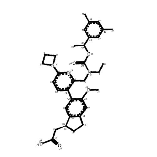 CCN(Cc1nc(N2CCC2)ccc1-c1cc2c(cc1OC)CC[C@H]2CC(=O)O)C(=O)O[C@@H](C)c1cc(C)cc(C)c1